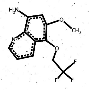 COc1cc(N)c2ncccc2c1OCC(F)(F)F